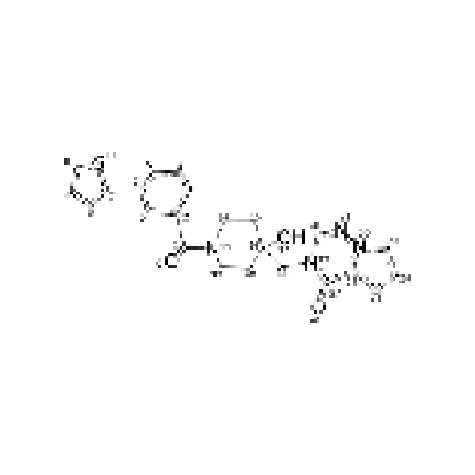 O=C(c1cccc(-c2cccs2)c1)N1CCC(O)(Cn2cnn3cccc3c2=O)CC1